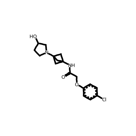 O=C(COc1ccc(Cl)cc1)NC12CC(N3CCC(O)C3)(C1)C2